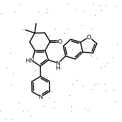 CC1(C)CC(=O)c2c([nH]c(-c3ccncc3)c2Nc2ccc3occc3c2)C1